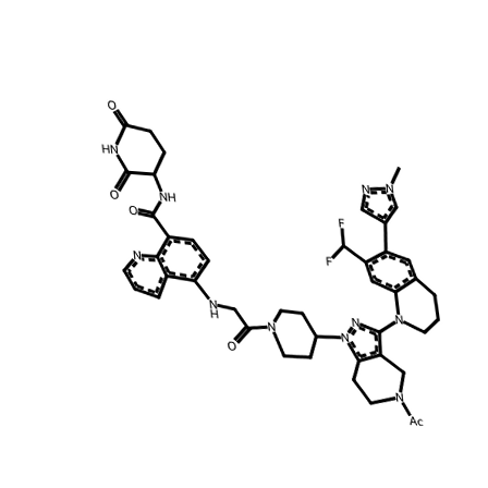 CC(=O)N1CCc2c(c(N3CCCc4cc(-c5cnn(C)c5)c(C(F)F)cc43)nn2C2CCN(C(=O)CNc3ccc(C(=O)NC4CCC(=O)NC4=O)c4ncccc34)CC2)C1